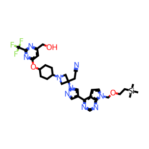 C[Si](C)(C)CCOCn1ccc2c(-c3cnn(C4(CC#N)CN(C5CCC(Oc6cc(CO)nc(C(F)(F)F)n6)CC5)C4)c3)ncnc21